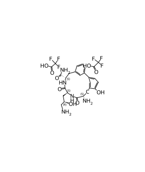 NC[C@H](O)C[C@@H]1NC(=O)[C@@H](N)Cc2cc(ccc2O)-c2cccc(c2)C[C@@H](C(N)=O)NC1=O.O=C(O)C(F)(F)F.O=C(O)C(F)(F)F